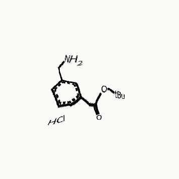 CC(C)(C)OC(=O)c1cccc(CN)c1.Cl